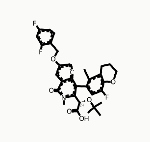 Cc1c(-c2c([C@H](OC(C)(C)C)C(=O)O)n(C)c(=O)c3cc(OCc4ccc(F)cc4F)ccc23)cc(F)c2c1CCCO2